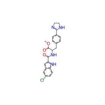 COC(=O)C(Cc1ccc(C2=NCCN2)cc1)NC(=O)c1cc2cc(Cl)ccc2[nH]1